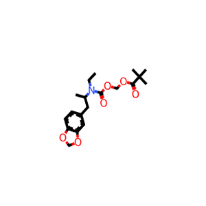 CCN(C(=O)OCOC(=O)C(C)(C)C)C(C)Cc1ccc2c(c1)OCO2